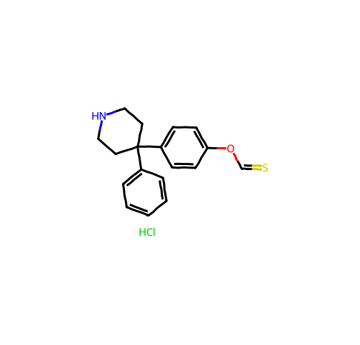 Cl.S=COc1ccc(C2(c3ccccc3)CCNCC2)cc1